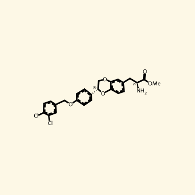 COC(=O)[C@@H](N)Cc1ccc2c(c1)OC[C@@H](c1ccc(OCc3ccc(Cl)c(Cl)c3)cc1)O2